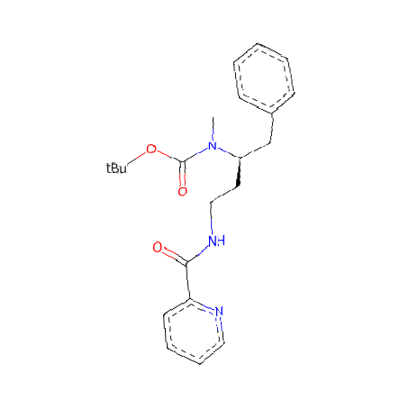 CN(C(=O)OC(C)(C)C)[C@H](CCNC(=O)c1ccccn1)Cc1ccccc1